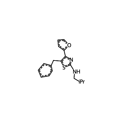 CC(C)CNc1nc(-c2ccco2)c(Cc2ccccc2)s1